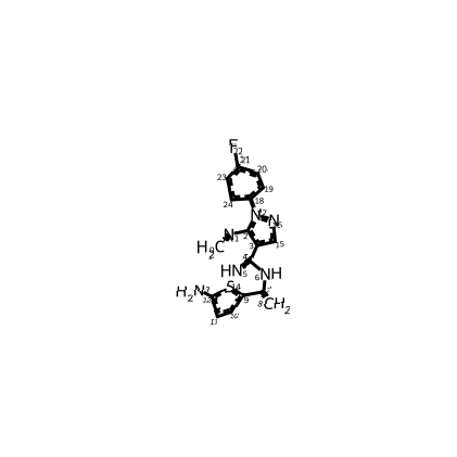 C=Nc1c(C(=N)NC(=C)c2ccc(N)s2)cnn1-c1ccc(F)cc1